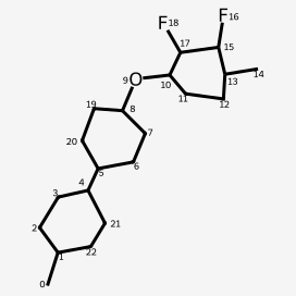 CC1CCC(C2CCC(OC3CCC(C)C(F)C3F)CC2)CC1